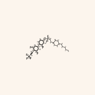 CCCCCC1CCC(CCC(F)(F)Oc2ccc(-c3cc(F)c(C#CC(F)(F)F)c(F)c3)c(F)c2)CC1